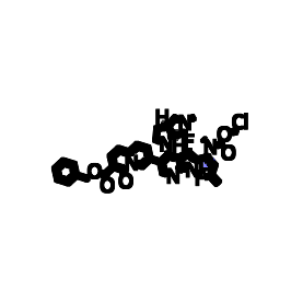 C=C(F)/C=C(\c1[nH]c2ncc(-c3ccc4ccc(C(=O)OCc5ccccc5)c(=O)n4c3)c(N3CC[C@H]4CN(C)C[C@H]43)c2c1F)N(C)C(=O)OCCl